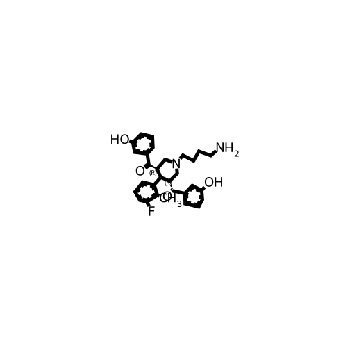 Cc1c(F)cccc1C1[C@@H](C(=O)c2cccc(O)c2)CN(CCCCN)C[C@@H]1C(=O)c1cccc(O)c1